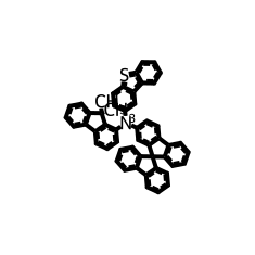 CC1(C)c2ccccc2-c2cccc(N(c3ccc4c(c3)C3(c5ccccc5-c5ccccc53)c3ccccc3-4)c3ccc4sc5ccccc5c4c3)c21